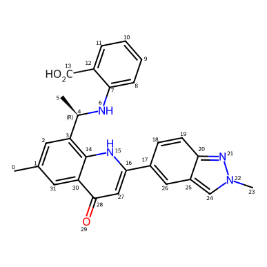 Cc1cc([C@@H](C)Nc2ccccc2C(=O)O)c2[nH]c(-c3ccc4nn(C)cc4c3)cc(=O)c2c1